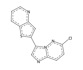 Clc1ccc2ncc(-c3cc4ncccc4s3)n2n1